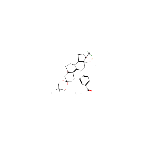 COC(=O)c1ccc([C@H]2CC3(C)C(CC[C@@]3(O)C(F)(F)C(F)(F)F)C3CC[C@@]4(O)CC5(CCC4=C32)OCC(C)(C)CO5)cc1